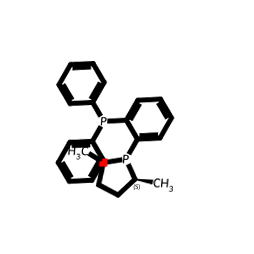 CC1CC[C@H](C)P1c1ccccc1P(c1ccccc1)c1ccccc1